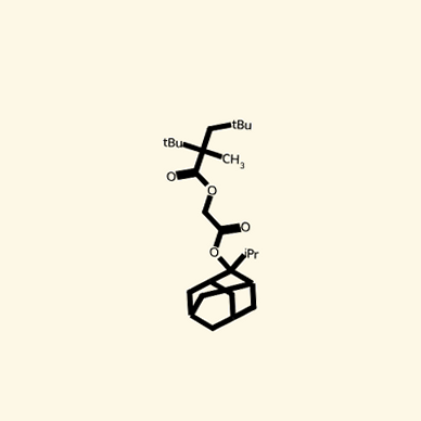 CC(C)C1(OC(=O)COC(=O)C(C)(CC(C)(C)C)C(C)(C)C)C2CC3CC(C2)CC1C3